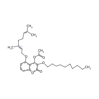 CCCCCCCCCCOc1c(OC(C)=O)c2c(OC/C=C(\C)CCC=C(C)C)cccc2oc1=O